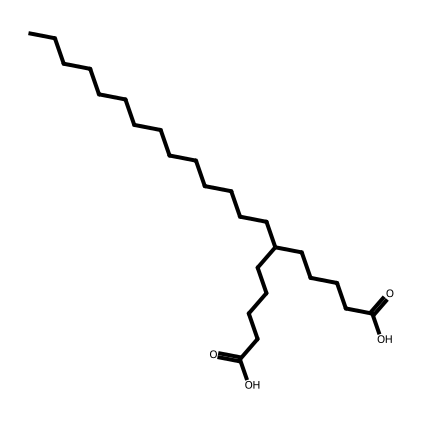 CCCCCCCCCCCCCCC(CCCCC(=O)O)CCCCC(=O)O